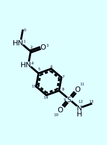 CNC(=O)Nc1ccc(S(=O)(=O)NC)cc1